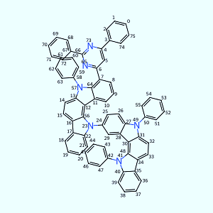 c1ccc(-c2cc(-c3cccc4c5c(ccc6c7ccccc7n(-c7ccc8c(c7)c7c(ccc9c%10ccccc%10n(-c%10ccccc%10)c97)n8-c7ccccc7)c65)n(-c5ccccc5)c34)nc(-c3ccccc3)n2)cc1